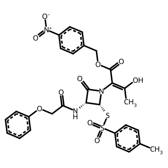 CC(O)=C(C(=O)OCc1ccc([N+](=O)[O-])cc1)N1C(=O)[C@@H](NC(=O)COc2ccccc2)[C@H]1SS(=O)(=O)c1ccc(C)cc1